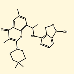 Cc1cc(C(C)Nc2cccc3c2COB3O)c2oc(N3CCC(C)(C)CC3)c(C)c(=O)c2c1